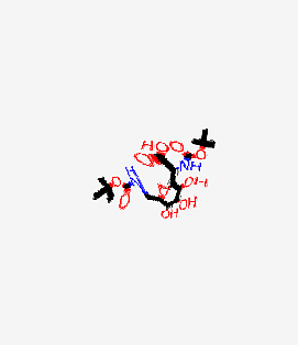 CC(C)(C)OC(=O)NCC1O[C@@H]([C@@H](NC(=O)OC(C)(C)C)C(=O)O)C(O)[C@@H](O)[C@@H]1O